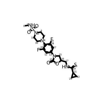 CNS(=O)(=O)N1CCN(c2c(F)cc(N3CC(CNC(=S)C4CC4)OC3=O)cc2F)CC1